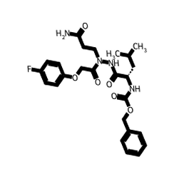 CC(C)C[C@H](NC(=O)OCc1ccccc1)C(=O)NN(CCC(N)=O)C(=O)COc1ccc(F)cc1